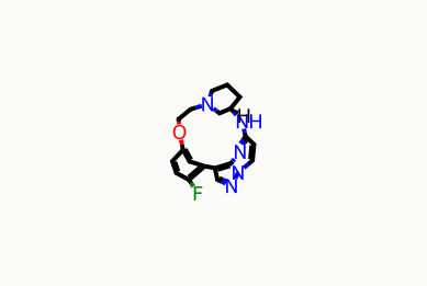 Fc1ccc2cc1-c1cnn3ccc(nc13)N[C@H]1CCCN(CCO2)C1